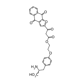 N[C@@H](Cc1ccc(OCCOC(=O)CC(=O)c2cc3c(o2)C(=O)c2ccccc2C3=O)cc1)C(=O)O